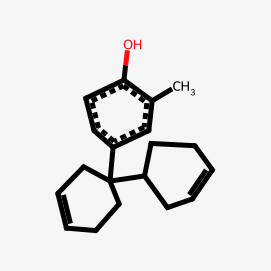 Cc1cc(C2(C3CC=CCC3)CC=CCC2)ccc1O